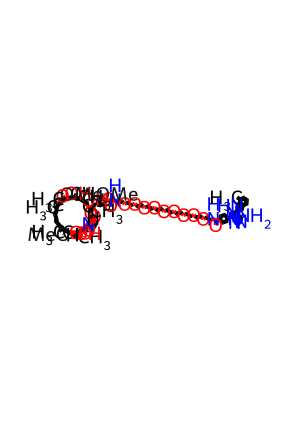 CO[C@H]1C[C@@H]2CC[C@@H](C)[C@@](O)(O2)C(=O)C(=O)N2CCCC[C@H]2C(=O)O[C@H]([C@H](C)C[C@@H]2CC[C@@H](OC(=O)NCCOCCOCCOCCOCCOCCOCCOCCOCCOCCNC(=O)[C@H]3CC[C@H](c4nc(-c5cc6cccc(C)c6[nH]5)c5c(N)ncnn54)CC3)[C@H](OC)C2)C[C@@H](O)[C@H](C)/C=C(\C)[C@@H](O)[C@@H](OC)C(=O)[C@H](C)C[C@H](C)/C=C/C=C/C=C/1C